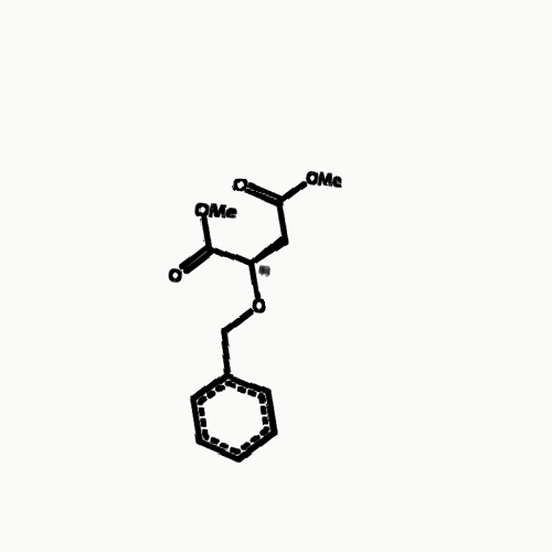 COC(=O)C[C@@H](OCc1ccccc1)C(=O)OC